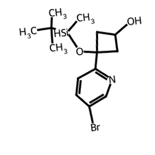 C[SiH](OC1(c2ccc(Br)cn2)CC(O)C1)C(C)(C)C